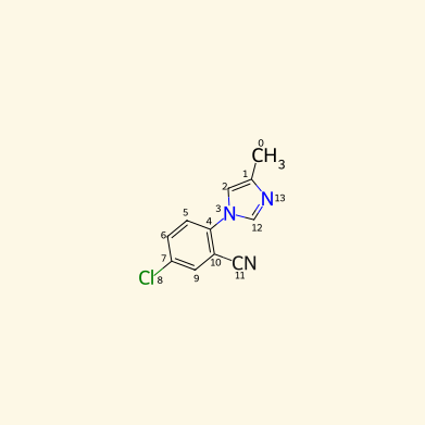 Cc1cn(-c2ccc(Cl)cc2C#N)cn1